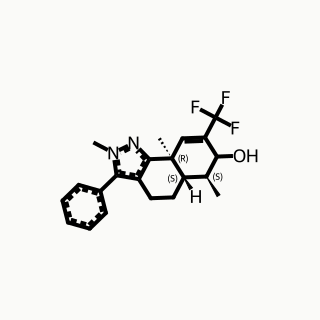 C[C@@H]1C(O)C(C(F)(F)F)=C[C@]2(C)c3nn(C)c(-c4ccccc4)c3CC[C@@H]12